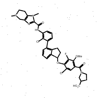 COc1c(C(=O)N2CCC(C(=O)O)C2)cc(Cl)c(OC2CCc3c(-c4cccc(NC(=O)c5nc6c(n5C)CCN(C)C6)c4Cl)cccc32)c1F